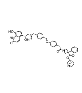 O=C(Cc1ccc(OCc2ccc(CNCC(O)c3ccc(O)c4[nH]c(=O)ccc34)cc2)cc1)N1CC(C(=O)OC2CN3CCC2CC3)(c2ccccc2)C1